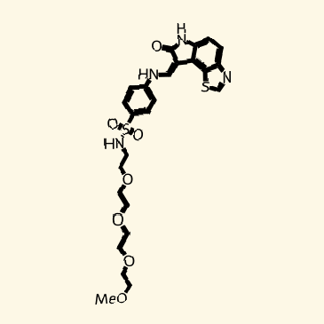 COCCOCCOCCOCCNS(=O)(=O)c1ccc(N/C=C2\C(=O)Nc3ccc4ncsc4c32)cc1